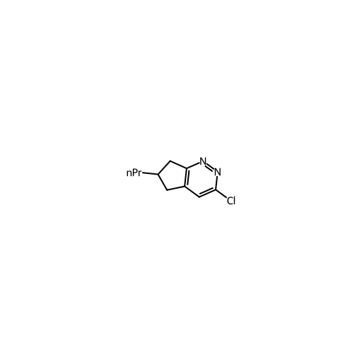 CCCC1Cc2cc(Cl)nnc2C1